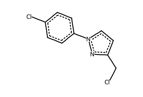 ClCc1ccn(-c2ccc(Cl)cc2)n1